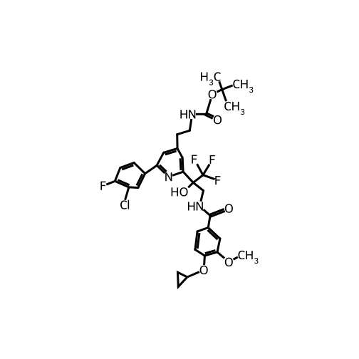 COc1cc(C(=O)NCC(O)(c2cc(CCNC(=O)OC(C)(C)C)cc(-c3ccc(F)c(Cl)c3)n2)C(F)(F)F)ccc1OC1CC1